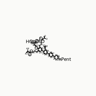 C=C(C)C(=O)OCCCc1cc(-c2ccc(C3=CCC(C4CCC(CCCCC)CC4)C=C3)cc2C2CC2)cc(CCCOC(=O)C(=C)C)c1OCCC(CO)(CO)CCC